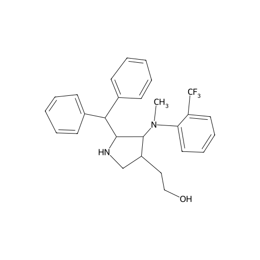 CN(c1ccccc1C(F)(F)F)C1C(CCO)CNC1C(c1ccccc1)c1ccccc1